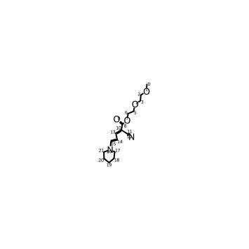 COCCOCCOC(=O)/C(C#N)=C/C=C/N1CCCCC1